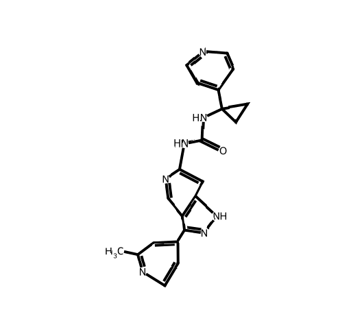 Cc1cc(-c2n[nH]c3cc(NC(=O)NC4(c5ccncc5)CC4)ncc23)ccn1